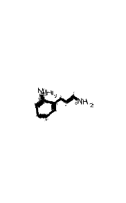 NC=CCc1ccccc1N